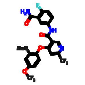 COc1cc(OC(F)(F)F)ccc1Oc1cc(C(F)(F)F)ncc1C(=O)Nc1ccc(F)c(C(N)=O)c1